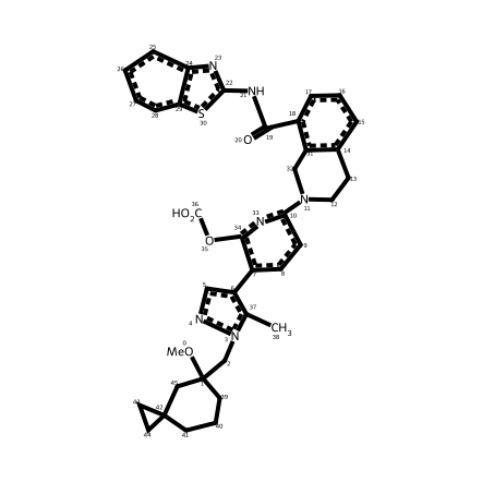 COC1(Cn2ncc(-c3ccc(N4CCc5cccc(C(=O)Nc6nc7ccccc7s6)c5C4)nc3OC(=O)O)c2C)CCCC2(CC2)C1